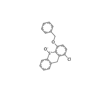 [O-][S+]1c2ccccc2Cc2c(Cl)ccc(OCc3ccccc3)c21